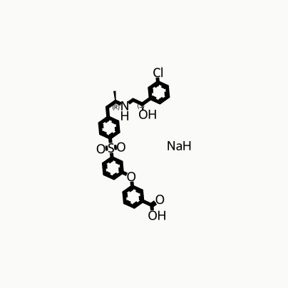 C[C@H](Cc1ccc(S(=O)(=O)c2cccc(Oc3cccc(C(=O)O)c3)c2)cc1)NC[C@@H](O)c1cccc(Cl)c1.[NaH]